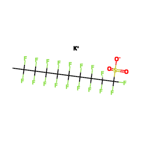 CC(F)(F)C(F)(F)C(F)(F)C(F)(F)C(F)(F)C(F)(F)C(F)(F)C(F)(F)C(F)(F)S(=O)(=O)[O-].[K+]